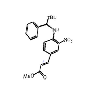 COC(=O)/C=C/c1ccc(NC(c2ccccc2)C(C)(C)C)c([N+](=O)[O-])c1